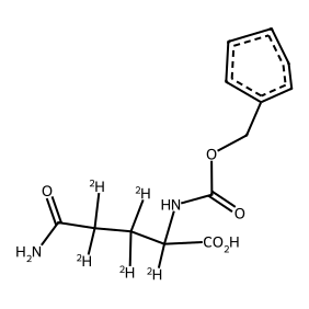 [2H]C([2H])(C(N)=O)C([2H])([2H])C([2H])(NC(=O)OCc1ccccc1)C(=O)O